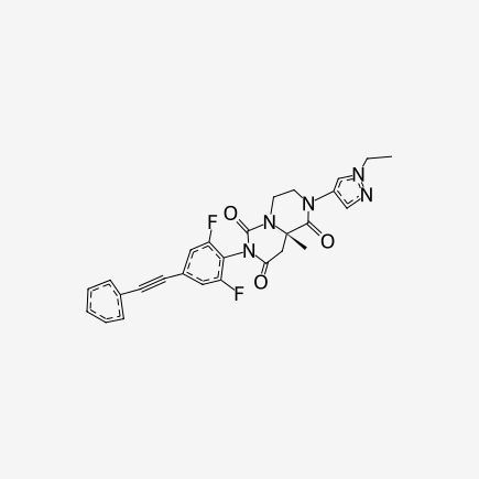 CCn1cc(N2CCN3C(=O)N(c4c(F)cc(C#Cc5ccccc5)cc4F)C(=O)C[C@@]3(C)C2=O)cn1